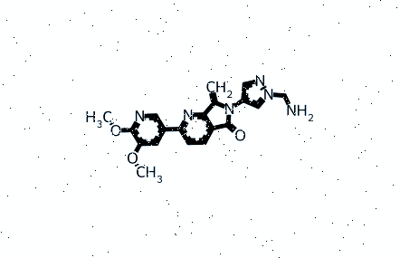 C=C1c2nc(-c3cnc(OC)c(OC)c3)ccc2C(=O)N1c1cnn(CN)c1